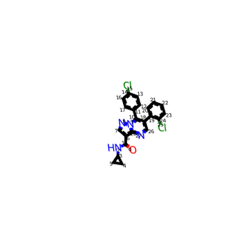 O=C(NC1CC1)c1cnn2c(-c3ccc(Cl)cc3)c(-c3ccccc3Cl)cnc12